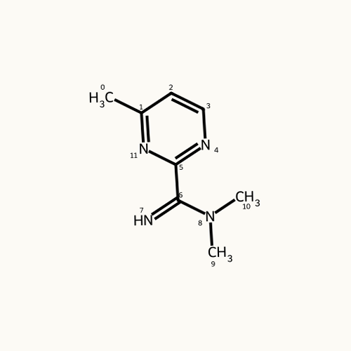 Cc1ccnc(C(=N)N(C)C)n1